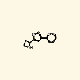 c1ccc(-c2cc(C3CCN3)on2)nc1